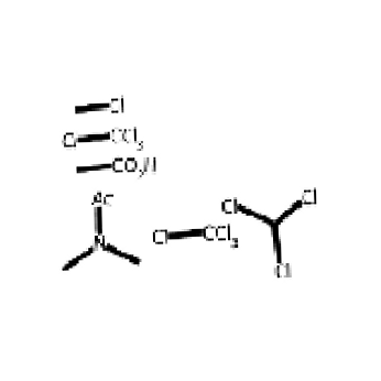 CC(=O)N(C)C.CC(=O)O.CCl.ClC(Cl)(Cl)Cl.ClC(Cl)(Cl)Cl.ClC(Cl)Cl